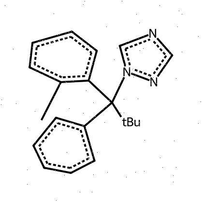 Cc1ccccc1C(c1ccccc1)(n1cncn1)C(C)(C)C